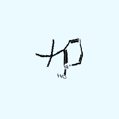 CC(C)(C)c1cncc[n+]1O